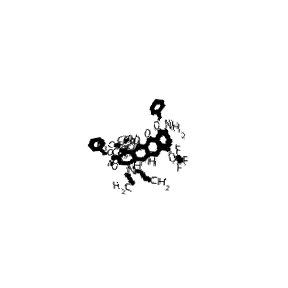 C=CCN(CC=C)[C@@H]1c2onc(OCc3ccccc3)c2C(=O)[C@@]2(O[Si](C)(C)C(C)(C)C)C(O)=C3C(=O)c4c(c(OC(F)(F)F)cc(N)c4OCc4ccccc4)C[C@H]3C[C@@H]12